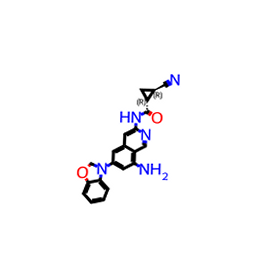 N#C[C@@H]1C[C@H]1C(=O)Nc1cc2cc(N3COc4ccccc43)cc(N)c2cn1